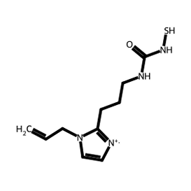 C=CCN1C=C[N+]=C1CCCNC(=O)NS